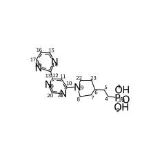 O=P(O)(O)CCC1CCN(c2cc(-c3ncccn3)ncn2)CC1